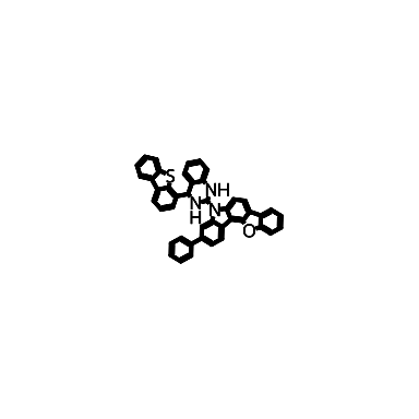 c1ccc(-c2ccc3c4c5oc6ccccc6c5ccc4n(C4Nc5ccccc5C(c5cccc6c5sc5ccccc56)N4)c3c2)cc1